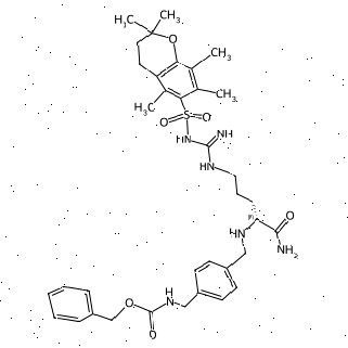 Cc1c(C)c(S(=O)(=O)NC(=N)NCCC[C@@H](NCc2ccc(CNC(=O)OCc3ccccc3)cc2)C(N)=O)c(C)c2c1OC(C)(C)CC2